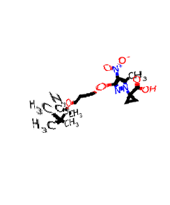 Cc1c([N+](=O)[O-])c(OCCCO[Si](C)(C)C(C)(C)C)nn1C1(C(=O)O)CC1